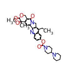 CCc1c2c(nc3ccc(OC(=O)N4CCC(N5CCCCC5)CC4)cc13)-c1cc3c(c(=O)n1C2)COC(=O)[C@@]3(C)OC